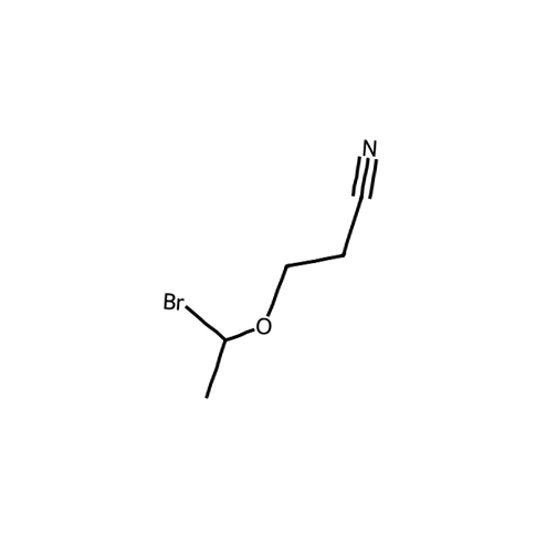 CC(Br)OCCC#N